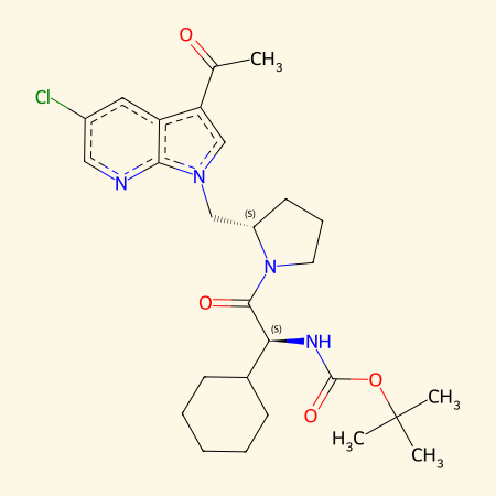 CC(=O)c1cn(C[C@@H]2CCCN2C(=O)[C@@H](NC(=O)OC(C)(C)C)C2CCCCC2)c2ncc(Cl)cc12